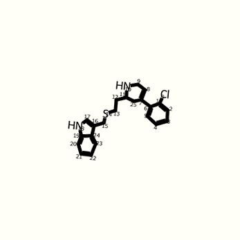 Clc1ccccc1C1=CCNC(CCSCc2c[nH]c3ccccc23)C1